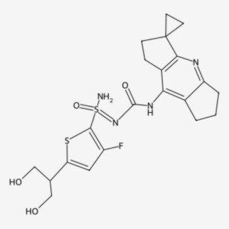 NS(=O)(=NC(=O)Nc1c2c(nc3c1CCC31CC1)CCC2)c1sc(C(CO)CO)cc1F